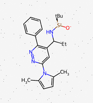 CCC(N[S@+]([O-])C(C)(C)C)c1cc(-n2c(C)ccc2C)nnc1-c1ccccc1